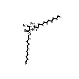 CCCCCCCCCCCCOC(=O)[C@@H](NC(=O)CCCCCCCCCCC)[C@@H](C)O